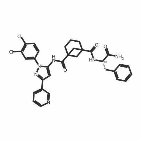 NC(=O)[C@H](Cc1ccccc1)NC(=O)C12CCCC(C(=O)Nc3cc(-c4cccnc4)nn3-c3ccc(Cl)c(Cl)c3)(C1)C2